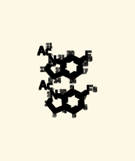 CC(=O)N1CCc2ccc(F)cc21.CC(=O)N1CCc2ccc(F)cc21